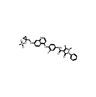 Cc1c(C(=O)Nc2ccc(Oc3ccnc4cc(OCC5(OS(C)(=O)=O)CC5)ccc34)c(F)c2)c(=O)n(-c2ccccc2)n1C